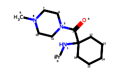 CC(C)NC1(C(=O)N2CCN(C)CC2)CCCCC1